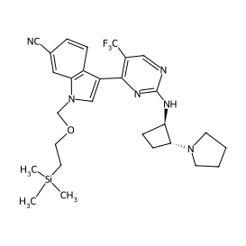 C[Si](C)(C)CCOCn1cc(-c2nc(N[C@@H]3CC[C@H]3N3CCCC3)ncc2C(F)(F)F)c2ccc(C#N)cc21